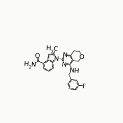 Cc1cc2c(C(N)=O)cccc2n1-c1nc2c(c(NCc3c[c]cc(F)c3)n1)COCC2